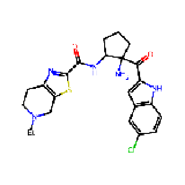 CCN1CCc2nc(C(=O)NC3CCCC3(N)C(=O)c3cc4cc(Cl)ccc4[nH]3)sc2C1